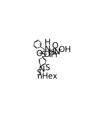 CCCCCCSN1CSc2cc(S(=O)(=O)C(N[C@@H](C(=O)NO)C(C)C)c3ccccc3)ccc21